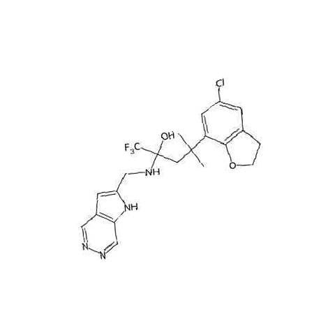 CC(C)(CC(O)(NCc1cc2cnncc2[nH]1)C(F)(F)F)c1cc(Cl)cc2c1OCC2